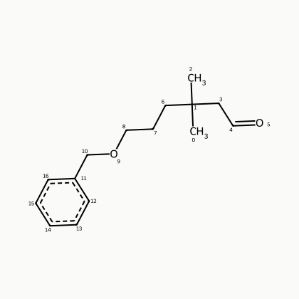 CC(C)(CC=O)CCCOCc1ccccc1